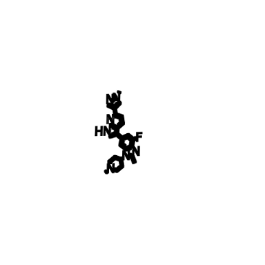 Cc1nc2c(F)cc(-c3c[nH]c4nc(-c5cnn(C)c5)ccc34)cc2n1C1CCN(C)CC1